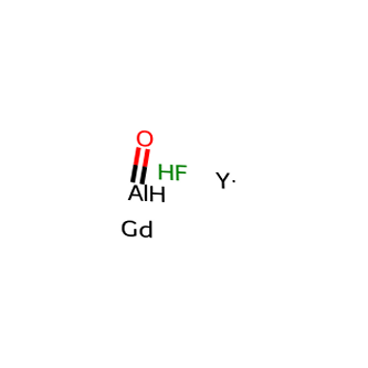 F.[Gd].[O]=[AlH].[Y]